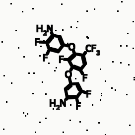 Nc1cc(Oc2c(F)cc(C(F)(F)F)c(Oc3cc(N)c(F)c(F)c3)c2F)cc(F)c1F